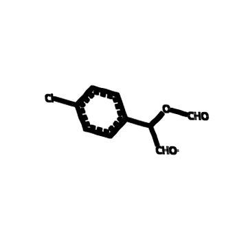 O=[C]C(OC=O)c1ccc(Cl)cc1